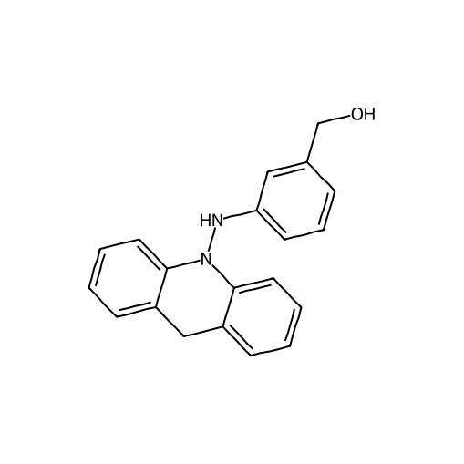 OCc1cccc(NN2c3ccccc3Cc3ccccc32)c1